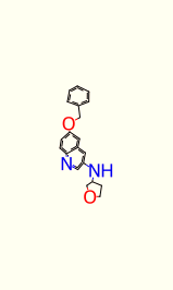 c1ccc(COc2ccc3ncc(NC4CCOC4)cc3c2)cc1